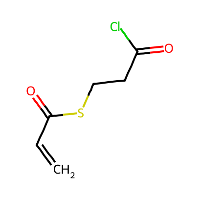 C=CC(=O)SCCC(=O)Cl